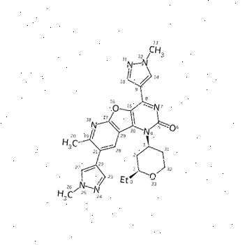 CC[C@H]1C[C@@H](n2c(=O)nc(-c3cnn(C)c3)c3oc4nc(C)c(-c5cnn(C)c5)cc4c32)CCO1